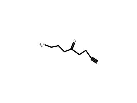 C#CCCC(=O)CCCP